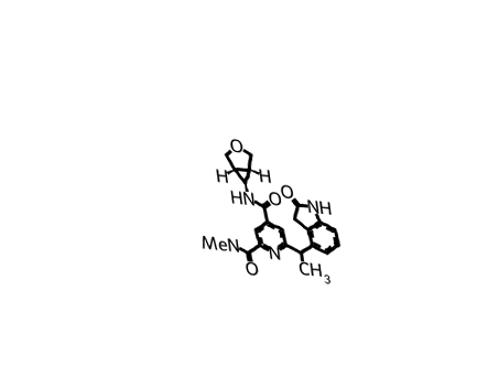 CNC(=O)c1cc(C(=O)N[C@H]2[C@@H]3COC[C@@H]32)cc(C(C)c2cccc3c2CC(=O)N3)n1